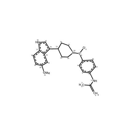 C=C(C)Nc1ccc([S+]([O-])N2CCC(c3c[nH]c4ccc(OC)cc34)CC2)cc1